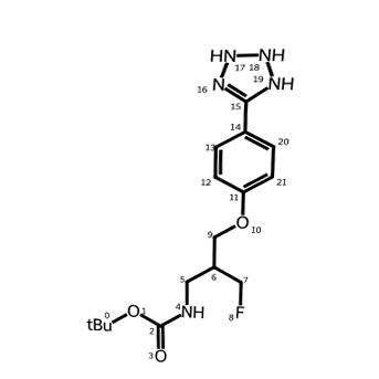 CC(C)(C)OC(=O)NCC(CF)COc1ccc(C2=NNNN2)cc1